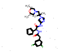 C[C@@H]1CN(CC(C)(C)n2cnc(NC(=O)[C@@H](NC(=O)Cc3cc(F)cc(F)c3)c3ccccc3)c2)C[C@H](C)O1